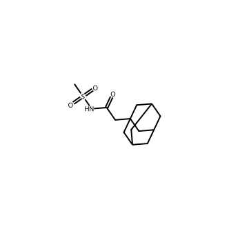 CS(=O)(=O)NC(=O)CC12CC3CC(CC(C3)C1)C2